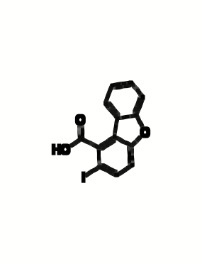 O=C(O)c1c(I)ccc2oc3ccccc3c12